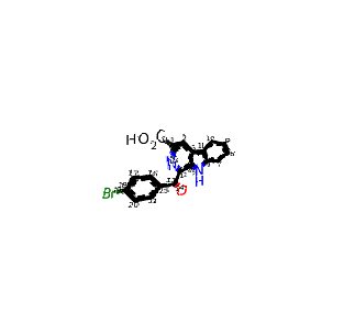 O=C(O)c1cc2c([nH]c3ccccc32)c(C(=O)c2ccc(Br)cc2)n1